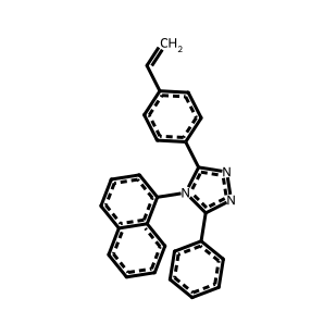 C=Cc1ccc(-c2nnc(-c3ccccc3)n2-c2cccc3ccccc23)cc1